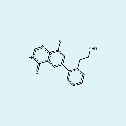 O=CCCc1ccccc1-c1cc(O)c2nc[nH]c(=O)c2c1